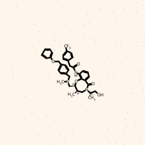 C[C@@H]1CN([C@@H](C)CO)C(=O)c2cccc(NC(=O)Cc3ccc(C(F)(F)F)cc3)c2O[C@@H]1CN(C)Cc1ccc(COc2ccccc2)cc1